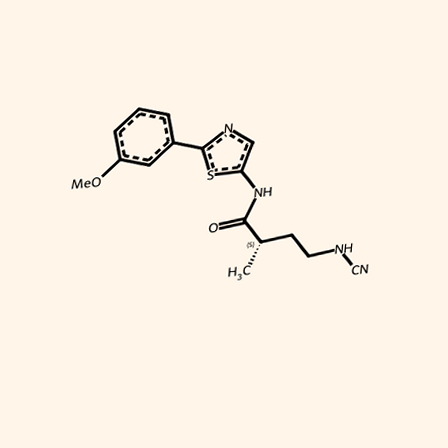 COc1cccc(-c2ncc(NC(=O)[C@@H](C)CCNC#N)s2)c1